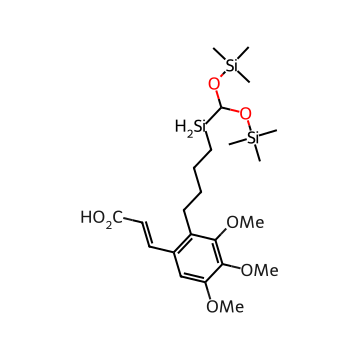 COc1cc(C=CC(=O)O)c(CCCC[SiH2]C(O[Si](C)(C)C)O[Si](C)(C)C)c(OC)c1OC